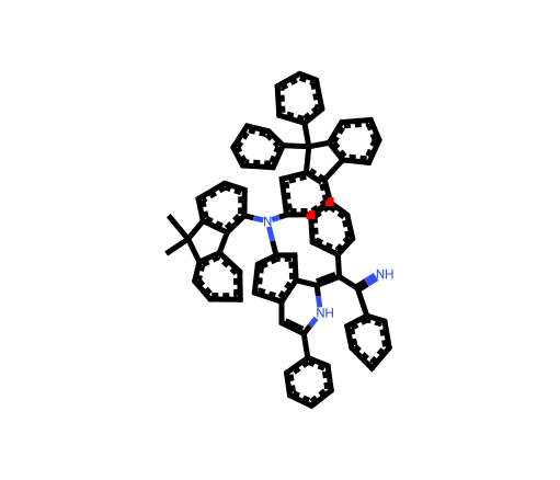 CC1(C)c2ccccc2-c2c(N(c3ccc4c(c3)/C(=C(/C(=N)c3ccccc3)c3ccccc3)NC(c3ccccc3)=C4)c3ccc4c(c3)C(c3ccccc3)(c3ccccc3)c3ccccc3-4)cccc21